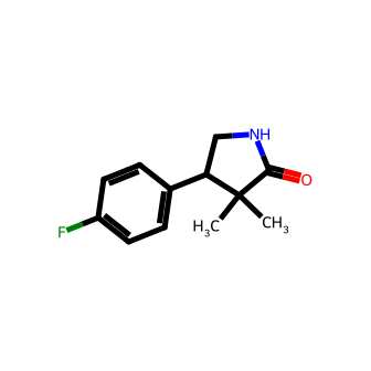 CC1(C)C(=O)NCC1c1ccc(F)cc1